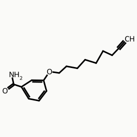 C#CCCCCCCCOc1cccc(C(N)=O)c1